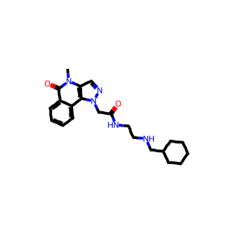 Cn1c(=O)c2ccccc2c2c1cnn2CC(=O)NCCNCC1CCCCC1